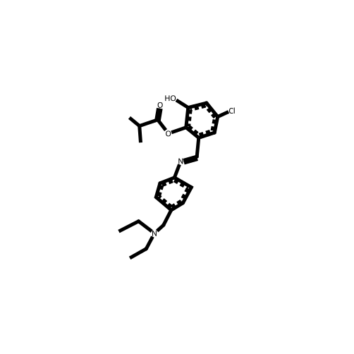 CCN(CC)Cc1ccc(N=Cc2cc(Cl)cc(O)c2OC(=O)C(C)C)cc1